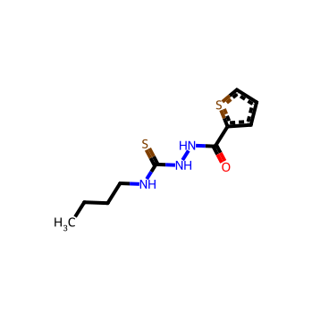 CCCCNC(=S)NNC(=O)c1cccs1